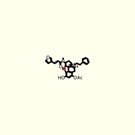 CC(=O)Oc1cc(O)c2c3c1C[C@@H]1[C@@H]4CC[C@H](N(C)C(=O)/C=C/c5ccoc5)[C@H](O2)[C@]34CCN1CCc1ccccc1